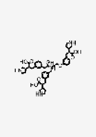 [2H]C([2H])(COc1cccc(CC(C(=O)O)C2CCNC2)c1)N(Cc1cccc(CC(C(=O)O)C2CCNC2)c1)C(=O)Cc1cccc(CC(C(=O)O)C2CCNC2)c1